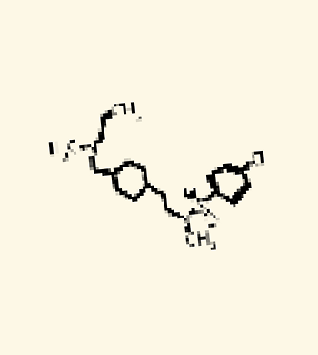 C=CCN(C)CC1CCC(CCN(C)S(=O)(=O)c2ccc(Cl)cc2)CC1